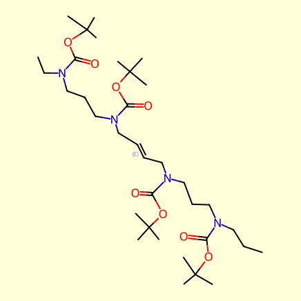 CCCN(CCCN(C/C=C/CN(CCCN(CC)C(=O)OC(C)(C)C)C(=O)OC(C)(C)C)C(=O)OC(C)(C)C)C(=O)OC(C)(C)C